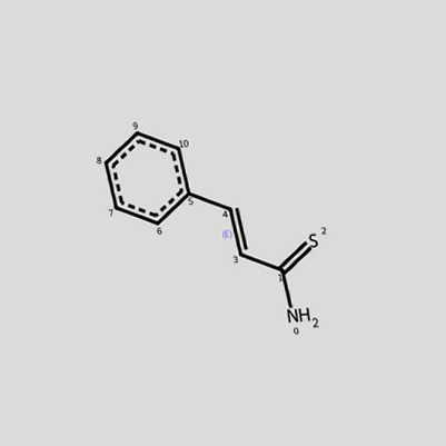 NC(=S)/C=C/c1ccccc1